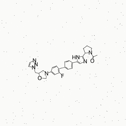 CC(=O)N1CCCC1c1ncc(-c2ccc(-c3ccc(N4COC(Cn5ccnn5)C4)cc3F)cc2)[nH]1